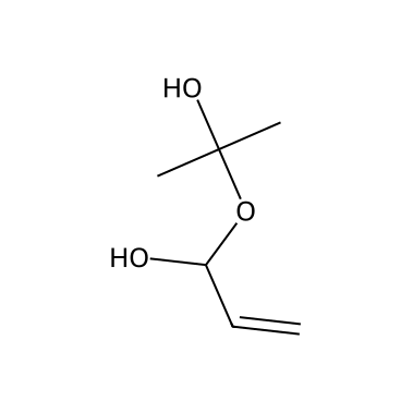 C=CC(O)OC(C)(C)O